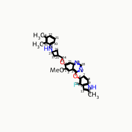 COc1cc2c(Oc3ccc4[nH]c(C)cc4c3F)ncnc2cc1OCC1CC(Nc2cccc(C)c2C)C1